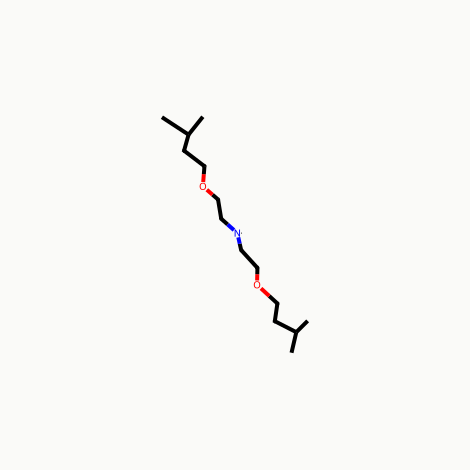 CC(C)CCOCC[N]CCOCCC(C)C